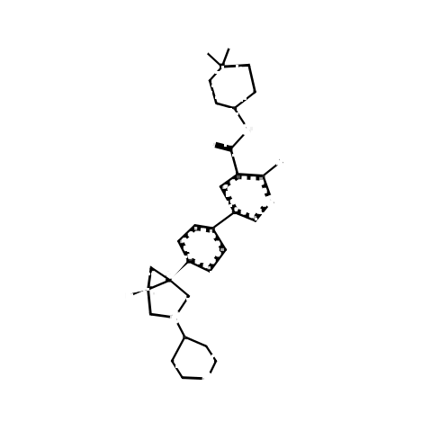 CC1(O)CCC(NC(=O)c2cc(-c3ccc([C@]45C[C@H]4CN(C4CCOCC4)C5)cc3)cnc2N)CC1